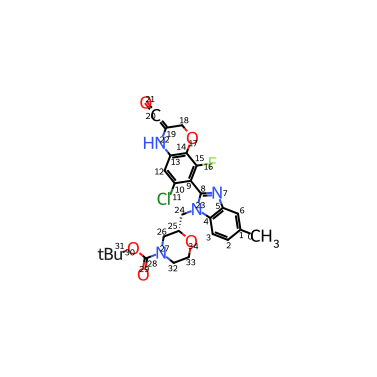 Cc1ccc2c(c1)nc(-c1c(Cl)cc3c(c1F)OCC(=C=O)N3)n2C[C@H]1CN(C(=O)OC(C)(C)C)CCO1